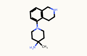 CC1(N)CCN(c2cccc3c2CCNC3)CC1